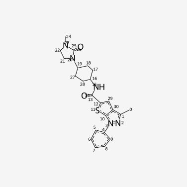 Cc1nn(-c2ccccc2)c2sc(C(=O)NC3CCC(N4CCN(C)C4=O)CC3)cc12